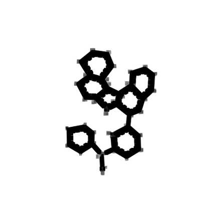 [O-][S+](c1ccccc1)c1cccc(-c2cc3ccccc3c3c2oc2ccc4ccccc4c23)n1